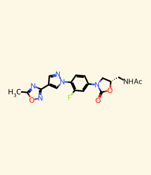 CC(=O)NC[C@H]1CN(c2ccc(-n3cc(-c4noc(C)n4)cn3)c(F)c2)C(=O)O1